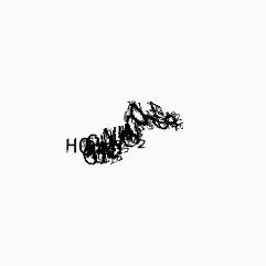 NC1C(c2cc(Cc3ccc(COc4cc(F)ccc4F)cc3)no2)=CC=CN1COP(=O)(O)O